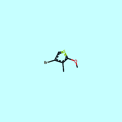 COc1s[c]c(Br)c1C